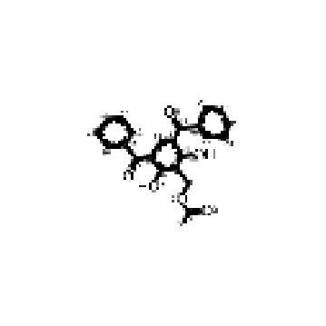 CC(=O)OCc1c(O)c(C(=O)c2ccccc2)cc(C(=O)c2ccccc2)c1O